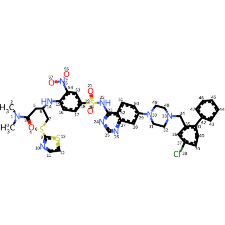 CN(C)C(=O)CC(CSc1nccs1)Nc1ccc(S(=O)(=O)Nc2ncnc3cc(N4CCN(Cc5cc(Cl)ccc5-c5ccccc5)CC4)ccc23)cc1[N+](=O)[O-]